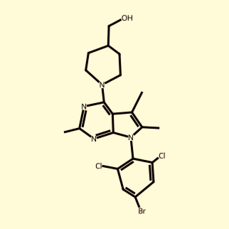 Cc1nc(N2CCC(CO)CC2)c2c(C)c(C)n(-c3c(Cl)cc(Br)cc3Cl)c2n1